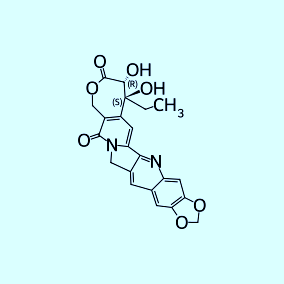 CC[C@]1(O)c2cc3n(c(=O)c2COC(=O)[C@@H]1O)Cc1cc2cc4c(cc2nc1-3)OCO4